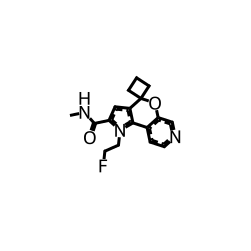 CNC(=O)c1cc2c(n1CCF)-c1ccncc1OC21CCC1